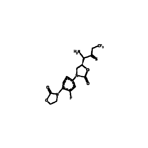 NC(C(=S)CC(F)(F)F)[C@@H]1CN(c2ccc(N3CCOC3=O)c(F)c2)C(=O)O1